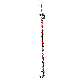 CCCCCCCCCCCCCCCC(=O)N[C@@H](CCC(=O)NCCOCCOCCOCCOCCOCCOCCOCCOCCOCCOCCOCCOCCOCCOCCOCCOCCCCOCCOCCOCCOCCOCCOCCOCCOCCC(=O)NCCCC[C@H](N)C(=O)O)C(=O)O